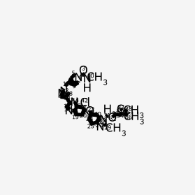 CNC(=O)N1CC2CC1CC2Cn1cc(-c2cnc3ccc(Oc4ccc5nc(C)n(COCC[Si](C)(C)C)c5c4)c(Cl)c3n2)cn1